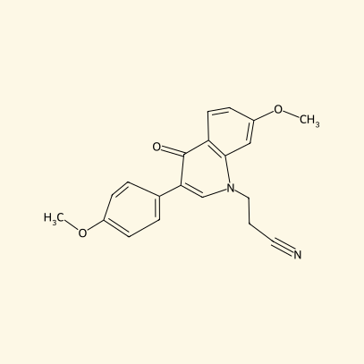 COc1ccc(-c2cn(CCC#N)c3cc(OC)ccc3c2=O)cc1